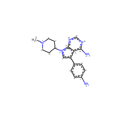 CN1CCC(n2cc(-c3ccc(N)cc3)c3c(N)ncnc32)CC1